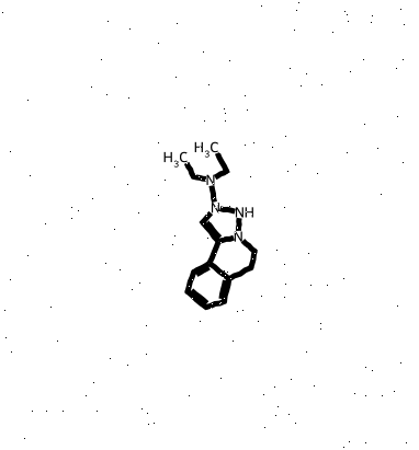 CCN(CC)N1C=C2c3ccccc3CCN2N1